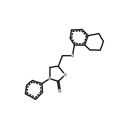 O=C1OC(COc2cccc3c2CCCC3)CN1c1ccccc1